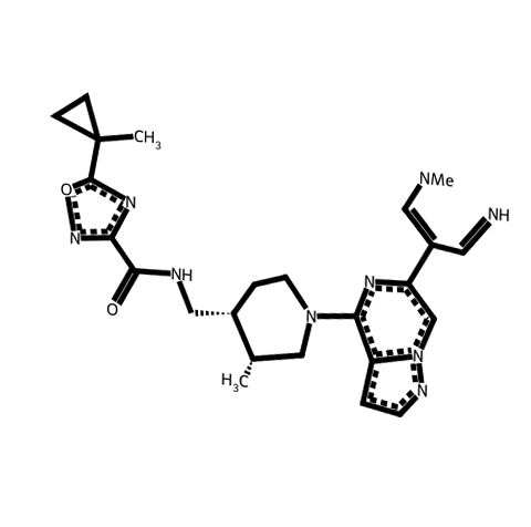 CN/C=C(\C=N)c1cn2nccc2c(N2CC[C@@H](CNC(=O)c3noc(C4(C)CC4)n3)[C@@H](C)C2)n1